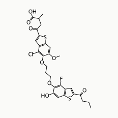 CCCC(=O)c1cc2c(F)c(OCCCOc3c(OC)cc4sc(C(=O)CC(C)C(=O)O)cc4c3Cl)c(O)cc2s1